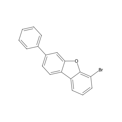 Brc1cccc2c1oc1cc(-c3ccccc3)ccc12